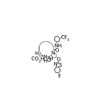 O=C1N[C@]2(C(=O)O)C[C@H]2/C=C\CCCCC[C@H](Nc2cccc(C(F)(F)F)c2)C(=O)N2C[C@H](Oc3nc4ccc(F)cc4s3)C[C@@H]12